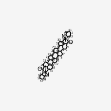 O=c1c2ccc3c4ccc5c6ccc7c8ccc9c%10c(ccc(c%11ccc(c%12ccc(c%13ccc(c2c3%13)c2nc3ccccc3n12)c4c5%12)c6c%117)c8%10)c(=O)n1c2ccccc2nc91